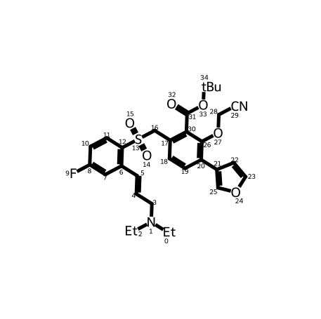 CCN(CC)C/C=C/c1cc(F)ccc1S(=O)(=O)Cc1ccc(-c2ccoc2)c(OCC#N)c1C(=O)OC(C)(C)C